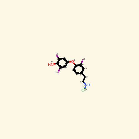 Oc1c(I)cc(Oc2ccc(CCNCl)cc2I)cc1I